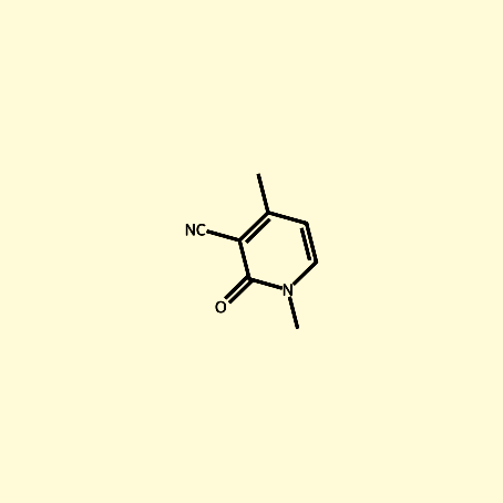 Cc1ccn(C)c(=O)c1C#N